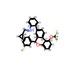 Fc1cccc(C2Oc3cccc(OC(F)F)c3-c3ccc(-c4ccccc4NCC4CC4)cc32)c1